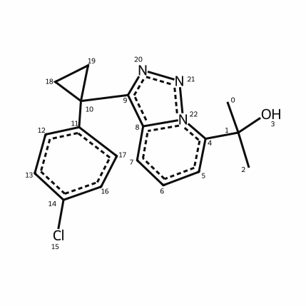 CC(C)(O)c1cccc2c(C3(c4ccc(Cl)cc4)CC3)nnn12